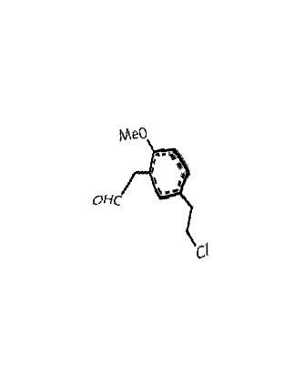 COc1ccc(CCCl)cc1CC=O